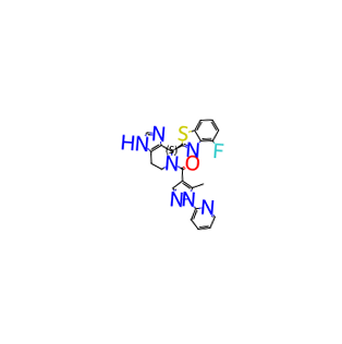 Cc1c(C(=O)N2CCc3[nH]cnc3[C@H]2c2nc3c(F)cccc3s2)cnn1-c1ccccn1